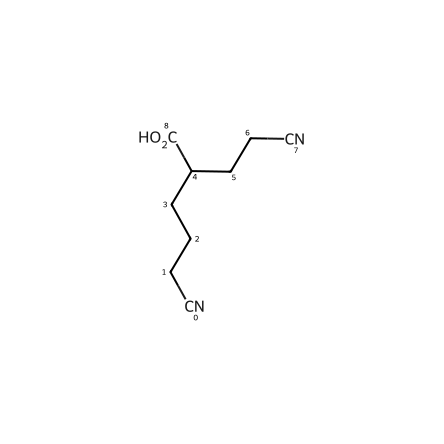 N#CCCCC(CCC#N)C(=O)O